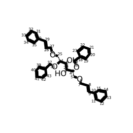 O[C@@H]([C@H](O)[C@@H](COC/C=C/c1ccccc1)OCc1ccccc1)[C@@H](COC/C=C/c1ccccc1)OCc1ccccc1